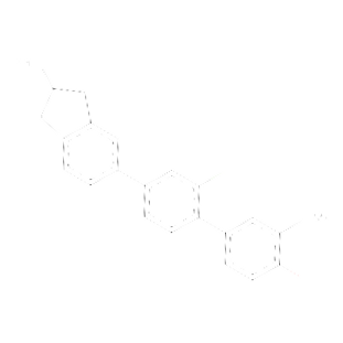 CCCCCC1Cc2ccc(-c3ccc(-c4ccc(O)c(OC)c4)c(F)c3)cc2C1